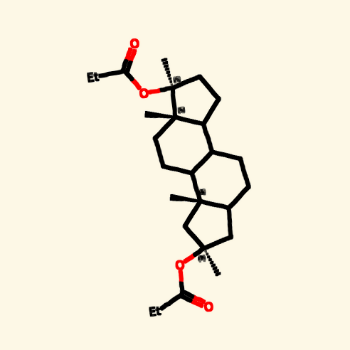 CCC(=O)O[C@]1(C)CC2CCC3C(CC[C@@]4(C)C3CC[C@]4(C)OC(=O)CC)[C@@]2(C)C1